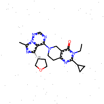 CCn1c(C2CC2)nc2c(c1=O)CN(c1ncnn3c(C)nc([C@@H]4CCOC4)c13)CC2